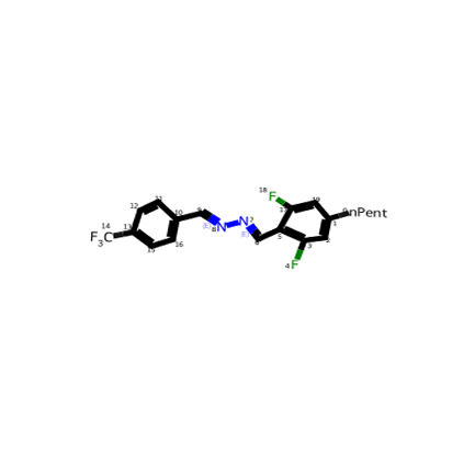 CCCCCc1cc(F)c(/C=N/N=C/c2ccc(C(F)(F)F)cc2)c(F)c1